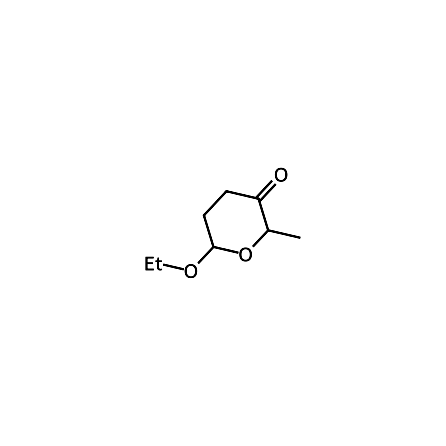 CCOC1CCC(=O)C(C)O1